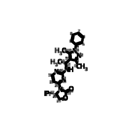 Cc1nn(-c2ccccc2)c(C)c1[C@@H](C)Nc1nccc(N2C(=O)OC[C@@H]2C(C)C)n1